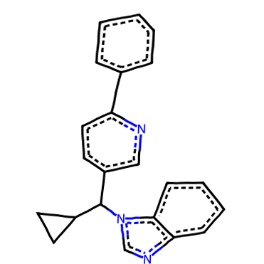 c1ccc(-c2ccc(C(C3CC3)n3cnc4ccccc43)cn2)cc1